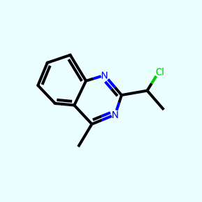 Cc1nc(C(C)Cl)nc2ccccc12